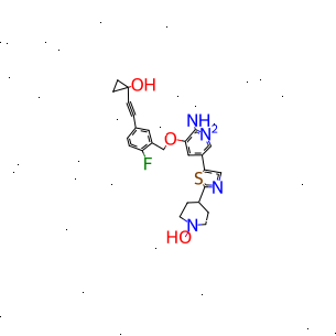 Nc1ncc(-c2cnc(C3CCN(O)CC3)s2)cc1OCc1cc(C#CC2(O)CC2)ccc1F